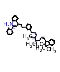 C=C(C/C=C\C1=C(C)C(C)(C)c2ccccc21)C(/C=C\Cc1cccc(C/C=C(\C=C(/N)c2ccccc2)c2ccccc2)c1)=C/C